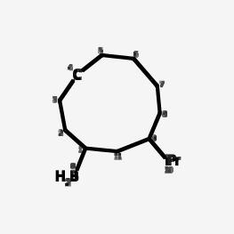 BC1CCCCCCCC(C(C)C)C1